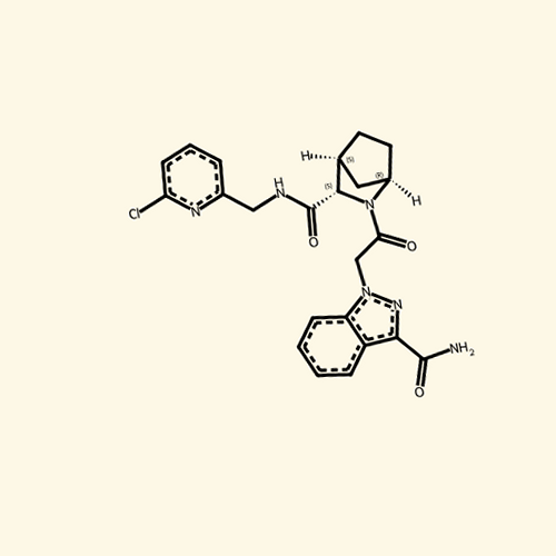 NC(=O)c1nn(CC(=O)N2[C@@H]3CC[C@@H](C3)[C@H]2C(=O)NCc2cccc(Cl)n2)c2ccccc12